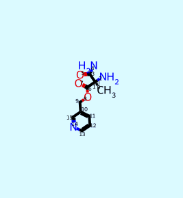 C[C@](N)(C(N)=O)C(=O)OCc1cccnc1